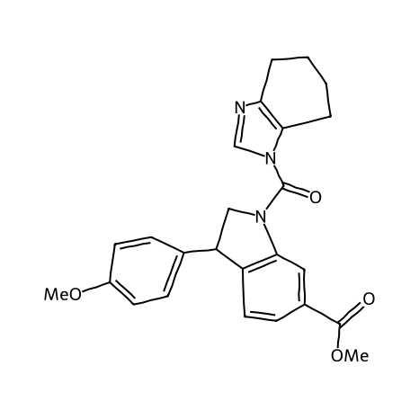 COC(=O)c1ccc2c(c1)N(C(=O)n1cnc3c1CCCC3)CC2c1ccc(OC)cc1